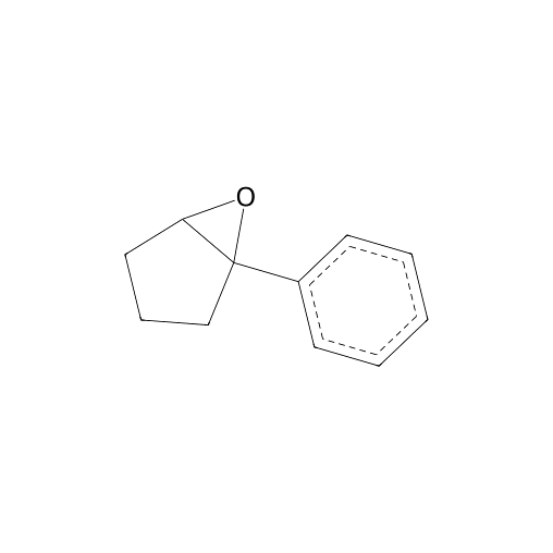 c1ccc(C23CCCC2O3)cc1